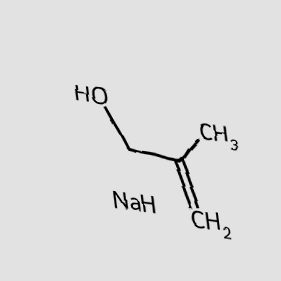 C=C(C)CO.[NaH]